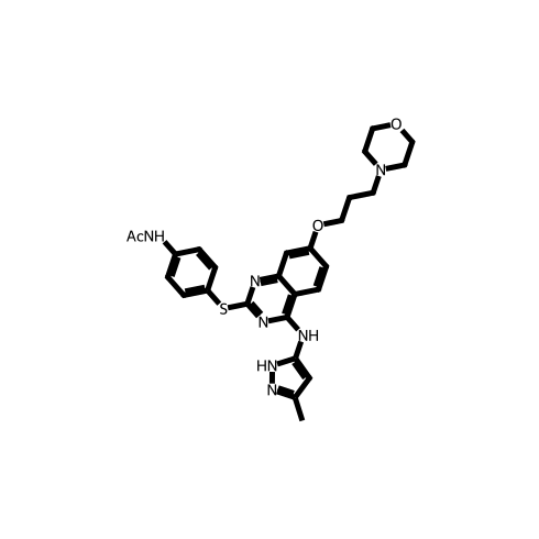 CC(=O)Nc1ccc(Sc2nc(Nc3cc(C)n[nH]3)c3ccc(OCCCN4CCOCC4)cc3n2)cc1